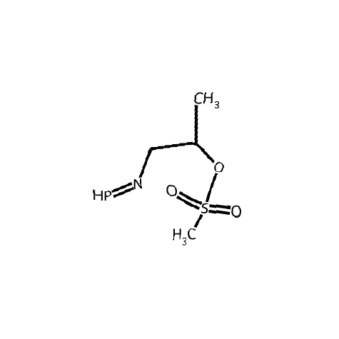 CC(CN=P)OS(C)(=O)=O